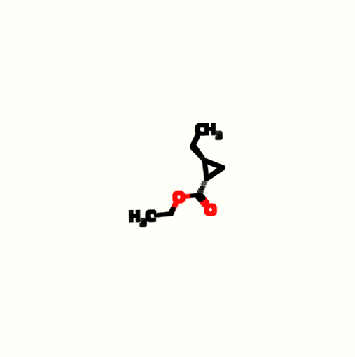 CCOC(=O)[C@H]1C[C@@H]1CC